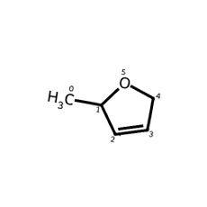 CC1[C]=CCO1